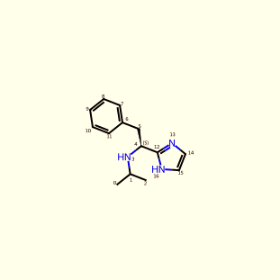 CC(C)N[C@@H](Cc1ccccc1)c1ncc[nH]1